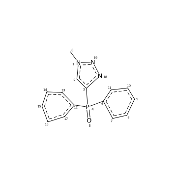 Cn1cc(P(=O)(c2ccccc2)c2ccccc2)nn1